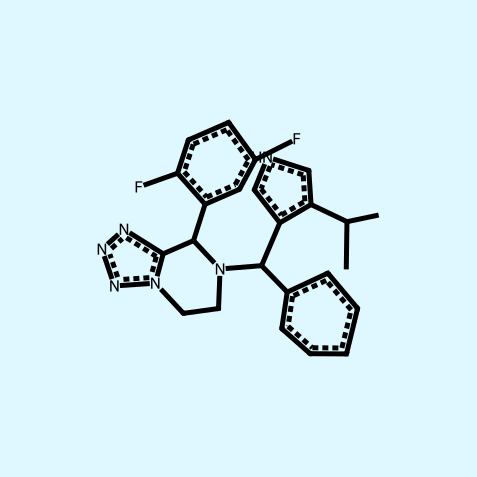 CC(C)c1c[nH]cc1C(c1ccccc1)N1CCn2nnnc2C1c1cc(F)ccc1F